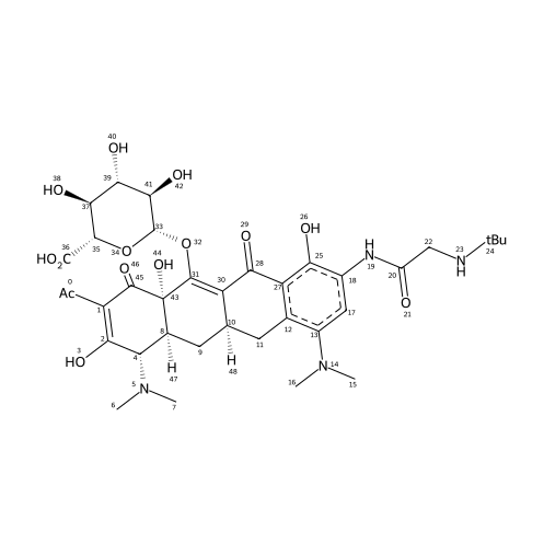 CC(=O)C1=C(O)[C@@H](N(C)C)[C@@H]2C[C@@H]3Cc4c(N(C)C)cc(NC(=O)CNC(C)(C)C)c(O)c4C(=O)C3=C(O[C@@H]3O[C@H](C(=O)O)[C@@H](O)[C@H](O)[C@H]3O)[C@]2(O)C1=O